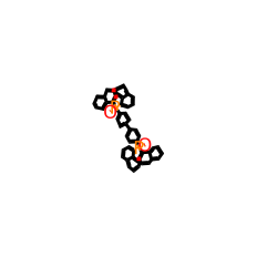 O=P(c1ccc(-c2ccc(P(=O)(c3cccc4ccccc34)c3cccc4ccccc34)cc2)cc1)(c1cccc2ccccc12)c1cccc2ccccc12